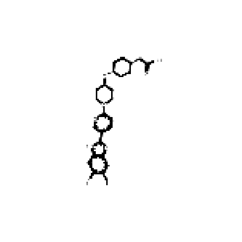 Cc1cc2[nH]c(-c3ccc(N4CCC(O[C@H]5CC[C@H](CC(=O)O)CC5)CC4)nc3)nc2cc1F